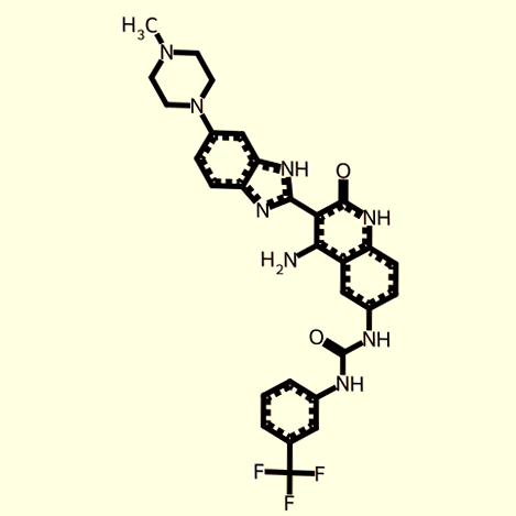 CN1CCN(c2ccc3nc(-c4c(N)c5cc(NC(=O)Nc6cccc(C(F)(F)F)c6)ccc5[nH]c4=O)[nH]c3c2)CC1